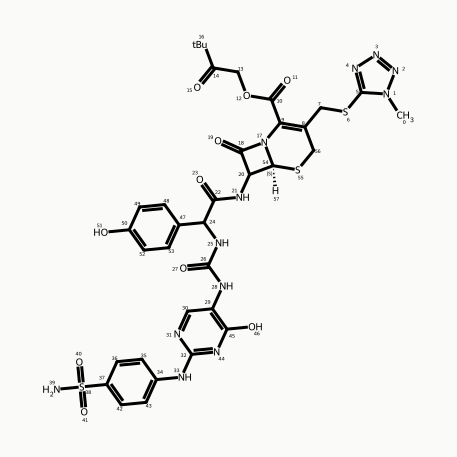 Cn1nnnc1SCC1=C(C(=O)OCC(=O)C(C)(C)C)N2C(=O)C(NC(=O)C(NC(=O)Nc3cnc(Nc4ccc(S(N)(=O)=O)cc4)nc3O)c3ccc(O)cc3)[C@@H]2SC1